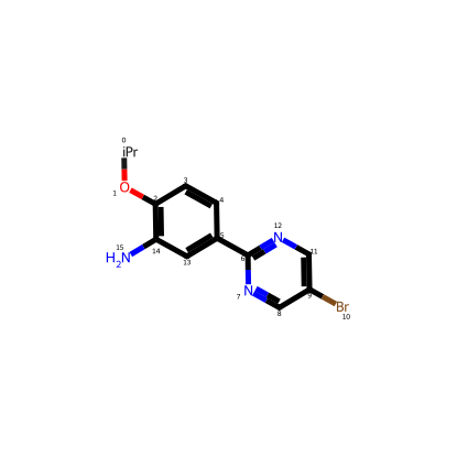 CC(C)Oc1ccc(-c2ncc(Br)cn2)cc1N